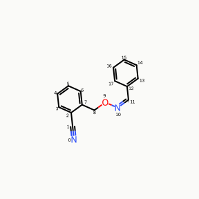 N#Cc1ccccc1CO/N=[C]\c1ccccc1